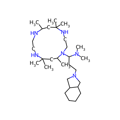 CC1CC(C)(C)NCCN(C(CCN2CC3CCCCC3C2)N(C)C)C(C)CC(C)(C)NCCN1